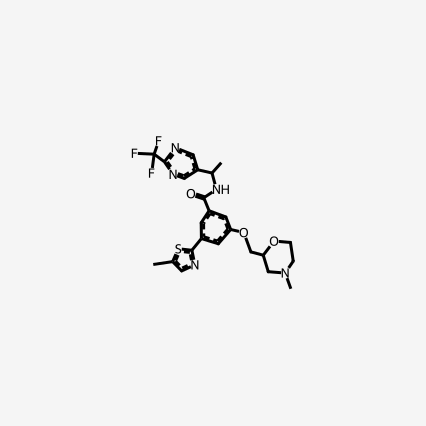 Cc1cnc(-c2cc(OCC3CN(C)CCO3)cc(C(=O)NC(C)c3cnc(C(F)(F)F)nc3)c2)s1